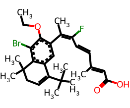 CCOc1c(\C(C)=C(F)/C=C/C(C)=C/C(=O)O)cc2c(c1Br)C(C)(C)CC=C2C(C)(C)C